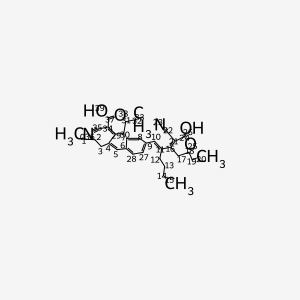 CCCCC(=Cc1ccc(C=C(CCCC)C(CCCC)=C(C#N)C(=O)O)cc1)C(CCCC)=C(C#N)C(=O)O